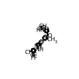 C[C@@H]1C[C@@H](N2Cc3cnc(Nc4ccc(Cl)c(OC(F)(F)F)c4)nc3C2)CCN1C(=O)c1ccnc(NS(C)(=O)=O)c1